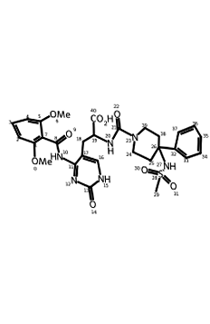 COc1cccc(OC)c1C(=O)Nc1nc(=O)[nH]cc1CC(NC(=O)N1CCC(NS(C)(=O)=O)(c2ccccc2)CC1)C(=O)O